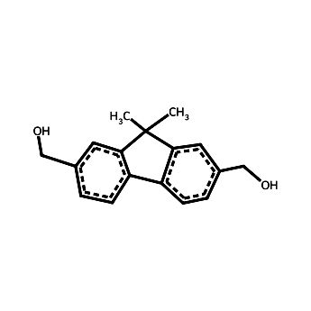 CC1(C)c2cc(CO)ccc2-c2ccc(CO)cc21